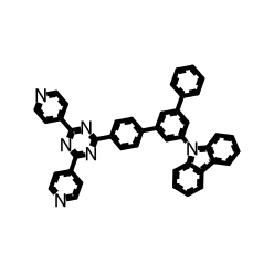 c1ccc(-c2cc(-c3ccc(-c4nc(-c5ccncc5)nc(-c5ccncc5)n4)cc3)cc(-n3c4ccccc4c4ccccc43)c2)cc1